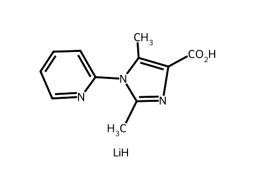 Cc1nc(C(=O)O)c(C)n1-c1ccccn1.[LiH]